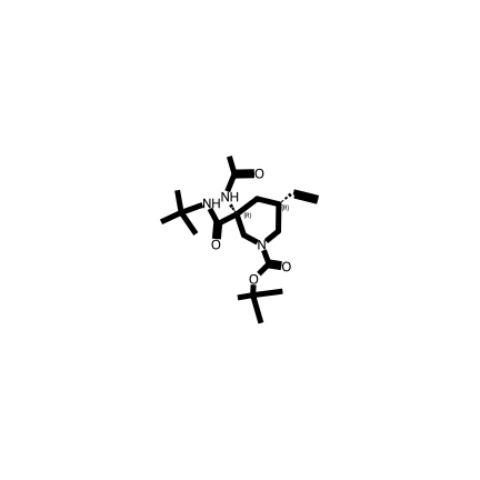 C=C[C@@H]1CN(C(=O)OC(C)(C)C)C[C@@](NC(C)=O)(C(=O)NC(C)(C)C)C1